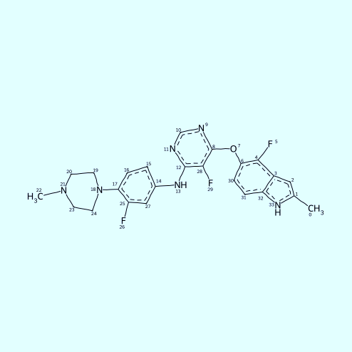 Cc1cc2c(F)c(Oc3ncnc(Nc4ccc(N5CCN(C)CC5)c(F)c4)c3F)ccc2[nH]1